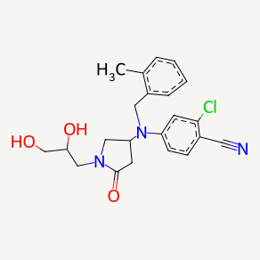 Cc1ccccc1CN(c1ccc(C#N)c(Cl)c1)C1CC(=O)N(CC(O)CO)C1